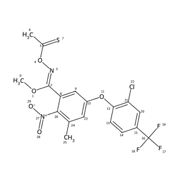 COC(=NOC(C)=S)c1cc(Oc2ccc(C(F)(F)F)cc2Cl)cc(C)c1[N+](=O)[O-]